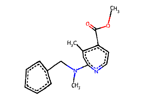 COC(=O)c1ccnc(N(C)Cc2ccccc2)c1C